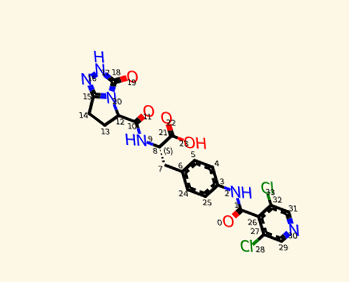 O=C(Nc1ccc(C[C@H](NC(=O)C2CCc3n[nH]c(=O)n32)C(=O)O)cc1)c1c(Cl)cncc1Cl